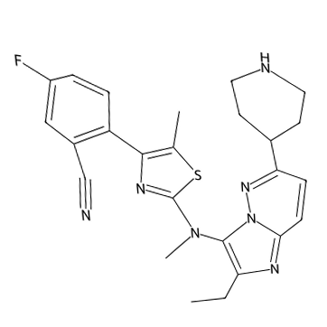 CCc1nc2ccc(C3CCNCC3)nn2c1N(C)c1nc(-c2ccc(F)cc2C#N)c(C)s1